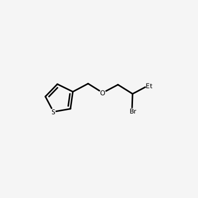 CCC(Br)COCc1ccsc1